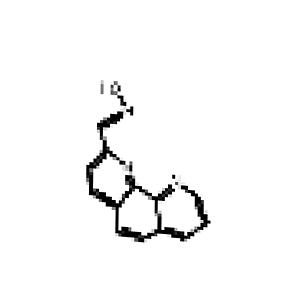 ON=Cc1ccc2ccc3cccnc3c2n1